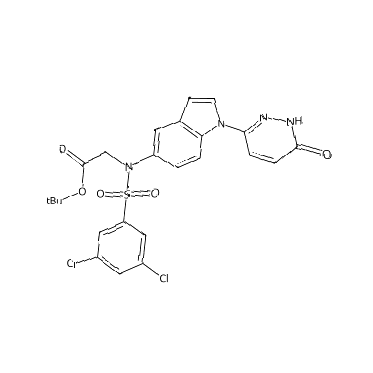 CC(C)(C)OC(=O)CN(c1ccc2c(ccn2-c2ccc(=O)[nH]n2)c1)S(=O)(=O)c1cc(Cl)cc(Cl)c1